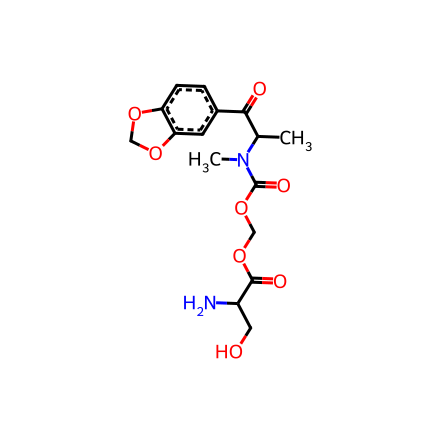 CC(C(=O)c1ccc2c(c1)OCO2)N(C)C(=O)OCOC(=O)C(N)CO